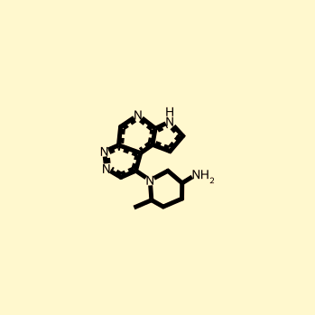 CC1CCC(N)CN1c1cnnc2cnc3[nH]ccc3c12